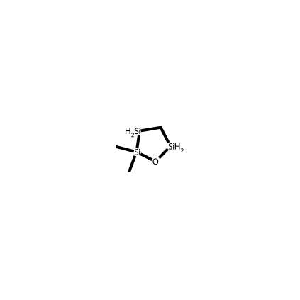 C[Si]1(C)O[SiH2]C[SiH2]1